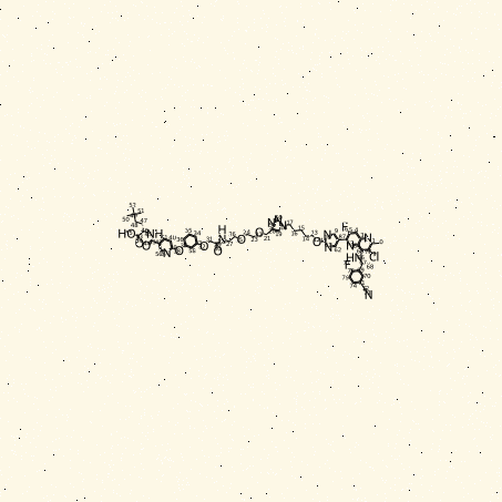 Cc1nc2cc(F)c(-c3cnc(OCCCCCn4cc(COCCOCCNC(=O)COc5cccc(Oc6ccc(C(=O)N[C@@H](CCC(C)(C)C)C(=O)O)cn6)c5)nn4)nc3)nc2c(N[C@H](C)c2cc(C#N)ccc2F)c1Cl